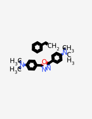 C=Cc1ccccc1.CN(C)c1ccc(-c2nnc(-c3ccc(N(C)C)cc3)o2)cc1